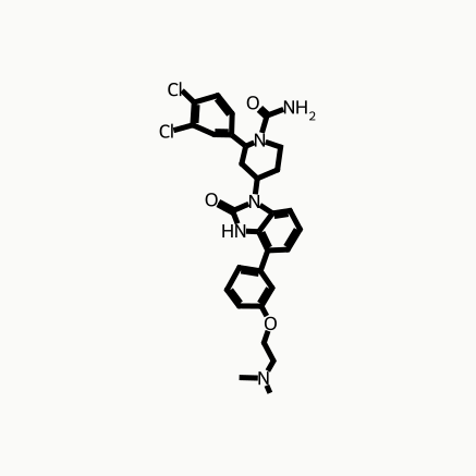 CN(C)CCOc1cccc(-c2cccc3c2[nH]c(=O)n3C2CCN(C(N)=O)C(c3ccc(Cl)c(Cl)c3)C2)c1